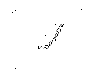 BrCc1ccc(COCCOCCOCc2ccc(CBr)cc2)cc1